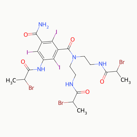 CC(Br)C(=O)NCCN(CCNC(=O)C(C)Br)C(=O)c1c(I)c(NC(=O)C(C)Br)c(I)c(C(N)=O)c1I